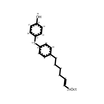 CCCCCCCCC=CCCCCc1ccc(Sc2ccc(O)cc2)cc1